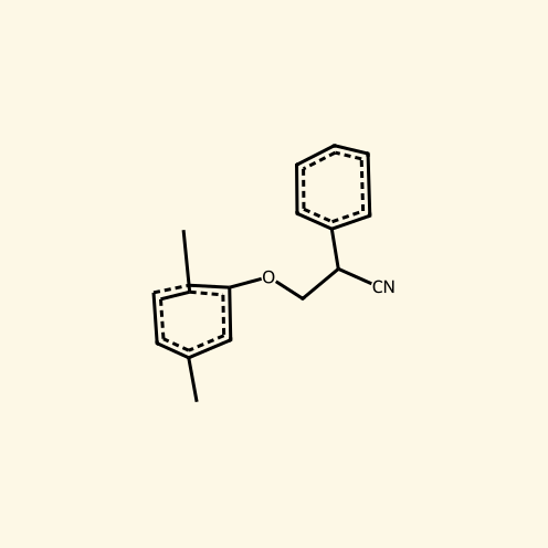 Cc1ccc(C)c(OCC(C#N)c2ccccc2)c1